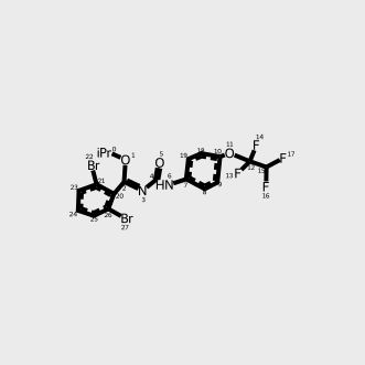 CC(C)OC(=NC(=O)Nc1ccc(OC(F)(F)C(F)F)cc1)c1c(Br)cccc1Br